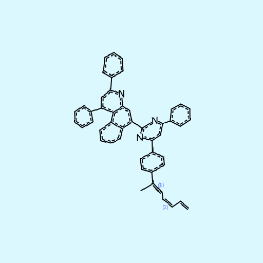 C=C/C=C\C=C(/C)c1ccc(-c2cc(-c3ccccc3)nc(-c3cc4nc(-c5ccccc5)cc(-c5ccccc5)c4c4ccccc34)n2)cc1